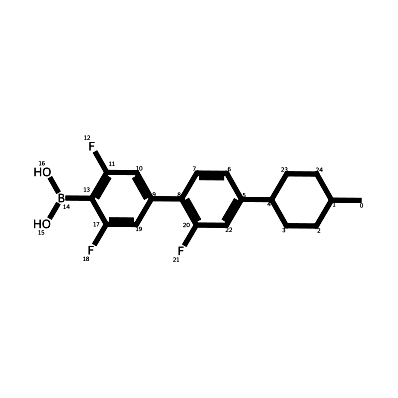 CC1CCC(c2ccc(-c3cc(F)c(B(O)O)c(F)c3)c(F)c2)CC1